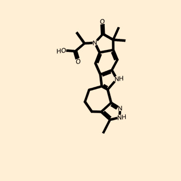 Cc1[nH]nc2c1CCCc1c-2[nH]c2cc3c(cc12)N(C(C)C(=O)O)C(=O)C3(C)C